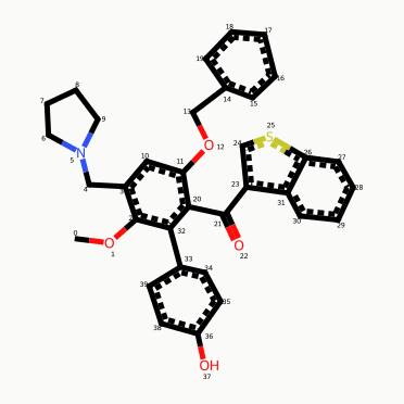 COc1c(CN2CCCC2)cc(OCc2ccccc2)c(C(=O)c2csc3ccccc23)c1-c1ccc(O)cc1